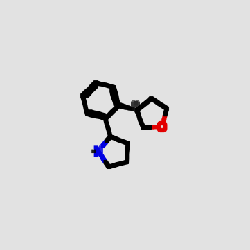 c1ccc([C@H]2CCOC2)c(C2CCC[N]2)c1